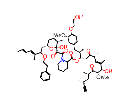 C#C[C@H](C)C[C@@H](C)C(=O)[C@H](OC)[C@H](O)/C(C)=C/[C@@H](C)C(=O)C[C@H](OC(=O)C1CCCCN1C(=O)C(=O)[C@]1(O)O[C@H](CC(OCCc2ccccc2)/C(C)=C/C=C/C)CC[C@H]1C)[C@H](C)C[C@@H]1CC[C@@H](OCCO)[C@H](OC)C1